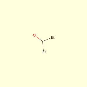 CCC([O])CC